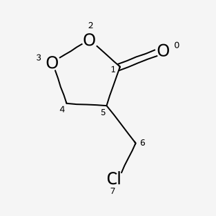 O=C1OOCC1CCl